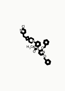 Cn1c(=O)n(-c2ccc(OCc3ccccc3)nc2OCc2ccccc2)c2cccc(N3CCC4(CC3)CC(Cc3ccc(Cl)nc3)C4)c21